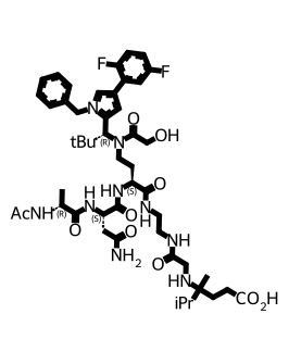 CC(=O)N[C@H](C)C(=O)N[C@@H](CC(N)=O)C(=O)N[C@@H](CCN(C(=O)CO)[C@@H](c1cc(-c2cc(F)ccc2F)cn1Cc1ccccc1)C(C)(C)C)C(=O)NCCNC(=O)CNC(C)(CCC(=O)O)C(C)C